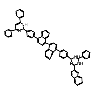 C1=C(c2ccccc2)NC(c2ccc(-c3ccc(-c4ccc(-c5ccc(C6N=C(c7ccc8ccccc8c7)NC(c7ccccc7)N6)cc5)c5ccccc45)c4ccccc34)cc2)N=C1c1ccccc1